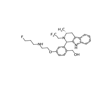 C[C@@H]1Cc2c([nH]c3ccccc23)C(c2cc(OCCNCCCF)ccc2CO)N1CC(F)(F)F